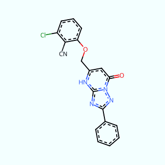 N#Cc1c(Cl)cccc1OCc1cc(=O)n2nc(-c3ccccc3)nc2[nH]1